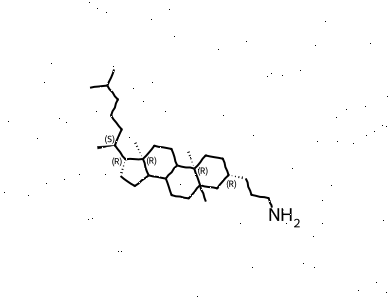 CC(C)CCC[C@H](C)[C@H]1CCC2C3CCC4(C)C[C@@H](CCCN)CC[C@]4(C)C3CC[C@@]21C